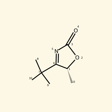 C[C@H]1OC(=O)N=C1C(C)(C)C